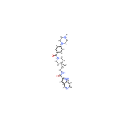 CN1CCN(c2ccc(C(=O)N3CCC4(CC3)CC4CNC(=O)c3cc4cnccc4[nH]3)cc2)CC1